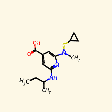 CCC(C)Nc1cc(C(=O)O)cc(N(C)SC2CC2)n1